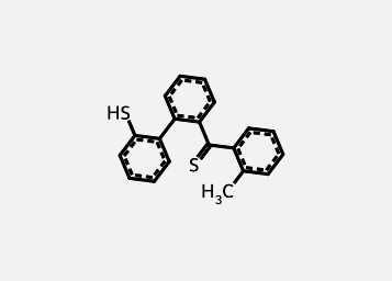 Cc1ccccc1C(=S)c1ccccc1-c1ccccc1S